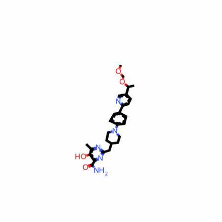 COCOC(C)c1ccc(-c2ccc(N3CCC(Cc4nc(C)c(O)c(C(N)=O)n4)CC3)cc2)nc1